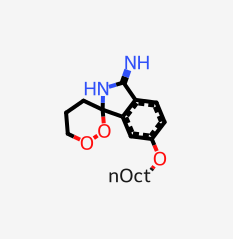 CCCCCCCCOc1ccc2c(c1)C1(CCCOO1)NC2=N